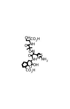 CC(C)(O/N=C(\C(=O)NC1Cc2cccc(C(=O)O)c2OB1O)c1csc(N)n1)C(=O)N[C@@H](CO)C(=O)O